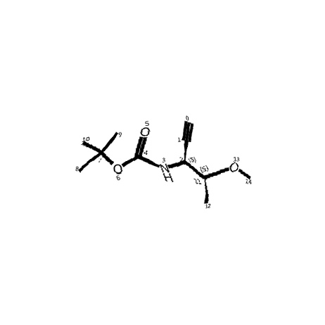 C#C[C@H](NC(=O)OC(C)(C)C)[C@H](C)OC